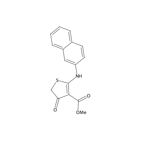 COC(=O)C1=C(Nc2ccc3ccccc3c2)SCC1=O